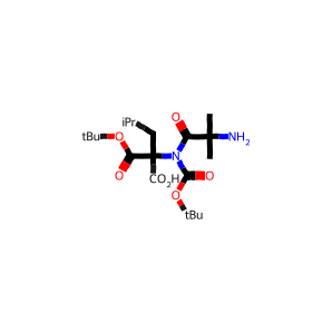 CC(C)CC(C(=O)O)(C(=O)OC(C)(C)C)N(C(=O)OC(C)(C)C)C(=O)C(C)(C)N